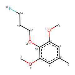 COc1cc(C)cc(OC)c1OCCCF